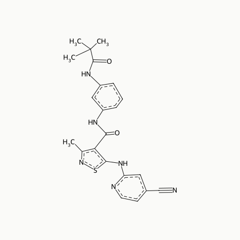 Cc1nsc(Nc2cc(C#N)ccn2)c1C(=O)Nc1cccc(NC(=O)C(C)(C)C)c1